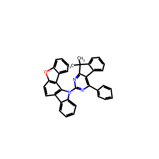 CC1(C)c2ccccc2-c2c(-c3ccccc3)nc(-n3c4ccccc4c4ccc5oc6ccccc6c5c43)nc21